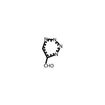 O=Cc1cnnnn1